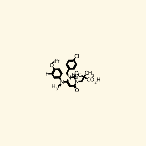 CC(C)Oc1ccc(N(C)c2cc(=O)n(CC(C)(C)C(=O)O)c(=O)n2Cc2ccc(Cl)cc2)cc1F